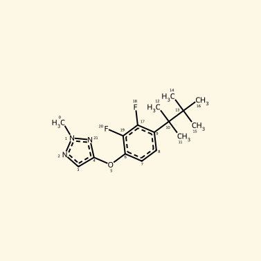 Cn1ncc(Oc2ccc(C(C)(C)C(C)(C)C)c(F)c2F)n1